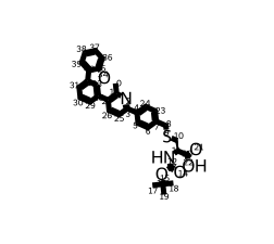 Cc1nc(-c2ccc(CSC[C@H](NC(=O)OC(C)(C)C)C(=O)O)cc2)ccc1-c1cccc2c1oc1ccccc12